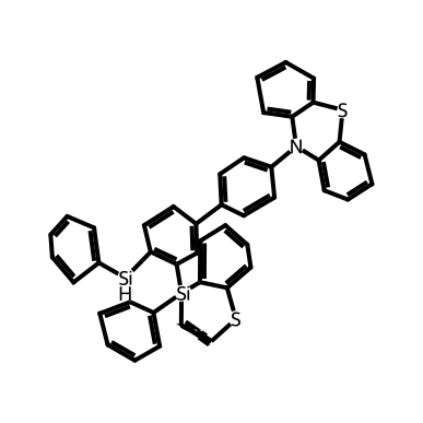 c1ccc([SiH]2c3ccccc3[Si]3(c4ccccc4Sc4ccccc43)c3cc(-c4ccc(N5c6ccccc6Sc6ccccc65)cc4)ccc32)cc1